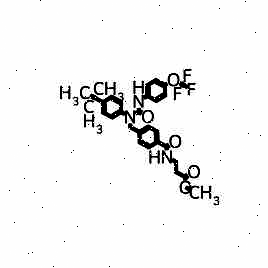 COC(=O)CCNC(=O)c1ccc(CN(C(=O)Nc2ccc(OC(F)(F)F)cc2)c2ccc(C(C)(C)C)cc2)cc1